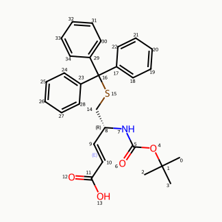 CC(C)(C)OC(=O)N[C@H](/C=C/C(=O)O)CSC(c1ccccc1)(c1ccccc1)c1ccccc1